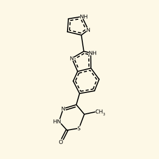 CC1SC(=O)NN=C1c1ccc2[nH]c(-c3cc[nH]n3)nc2c1